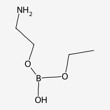 CCOB(O)OCCN